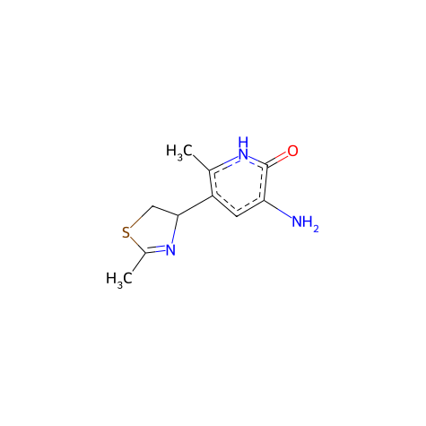 CC1=NC(c2cc(N)c(=O)[nH]c2C)CS1